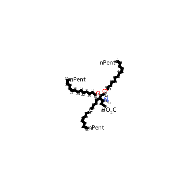 CCCCC/C=C\C/C=C\CCCCCCCCOCC(OCCCCCCCC/C=C\C/C=C\CCCCC)C(CCCCCCCC/C=C\C/C=C\CCCCC)C(CCC(=O)O)N(C)C